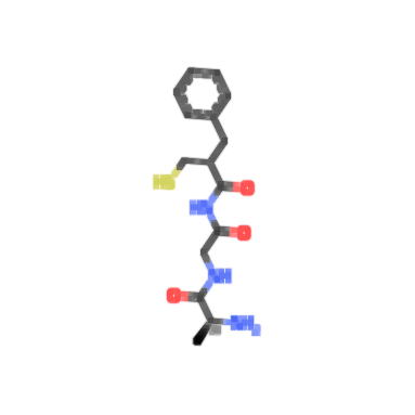 C[C@H](N)C(=O)NCC(=O)NC(=O)C(CS)Cc1ccccc1